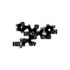 CC(C)C(NC(=O)O)C(=O)NC(Cc1ccco1)C(=O)NC(C=O)C[C@@H]1CCNC1=O